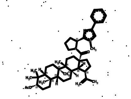 C=C(C)[C@@H]1CC[C@]2(C(=O)N3CCC[C@H]3c3nc(-c4ccccc4)cn3C)CC[C@]3(C)[C@H](CC[C@@H]4[C@@]5(C)CC[C@H](OC(C)=O)C(C)(C)[C@@H]5CC[C@]43C)[C@@H]12